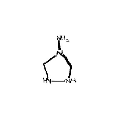 NN1CNNC1